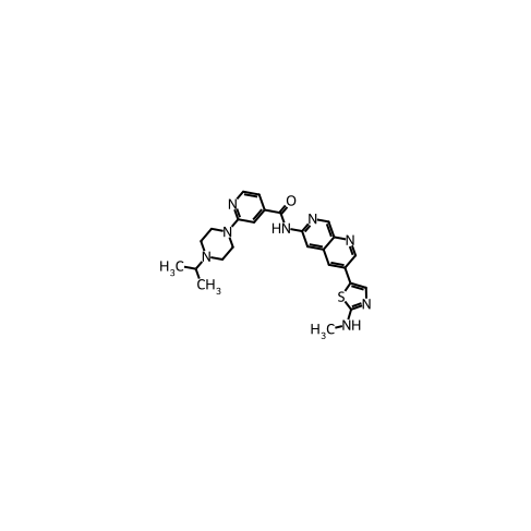 CNc1ncc(-c2cnc3cnc(NC(=O)c4ccnc(N5CCN(C(C)C)CC5)c4)cc3c2)s1